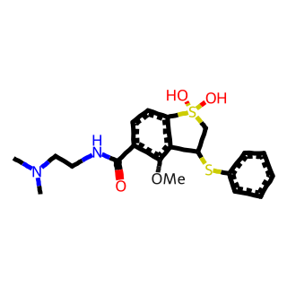 COc1c(C(=O)NCCN(C)C)ccc2c1C(Sc1ccccc1)CS2(O)O